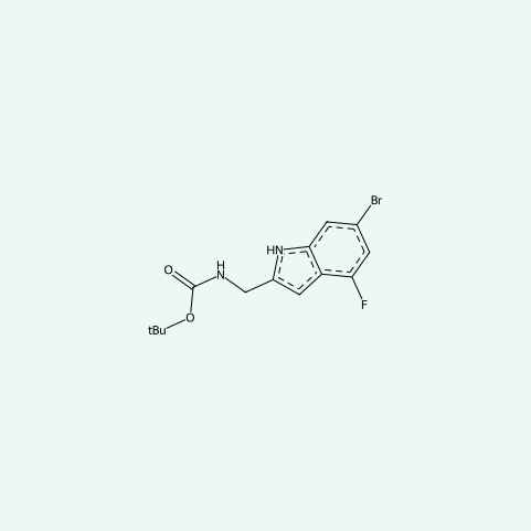 CC(C)(C)OC(=O)NCc1cc2c(F)cc(Br)cc2[nH]1